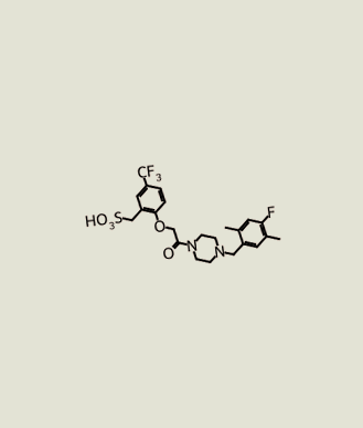 Cc1cc(CN2CCN(C(=O)COc3ccc(C(F)(F)F)cc3CS(=O)(=O)O)CC2)c(C)cc1F